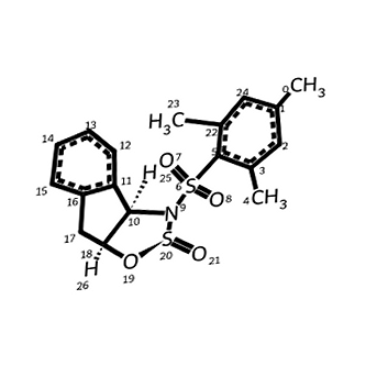 Cc1cc(C)c(S(=O)(=O)N2[C@@H]3c4ccccc4C[C@@H]3O[S@@]2=O)c(C)c1